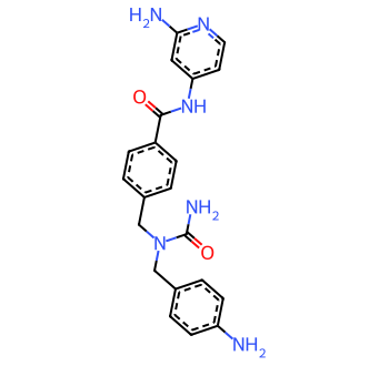 NC(=O)N(Cc1ccc(N)cc1)Cc1ccc(C(=O)Nc2ccnc(N)c2)cc1